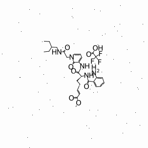 CCC(CC)CNC(=O)Cn1cccc(NC(=O)[C@H](CCC=CC(=O)OC)NC(=O)c2ccccc2N)c1=O.O=C(O)C(F)(F)F